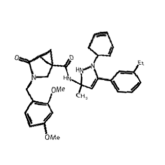 CCc1cccc(C2=CC(C)(NC(=O)C34CC3C(=O)N(Cc3ccc(OC)cc3OC)C4)NN2C2C=CC=CC2)c1